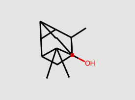 CC1(C)C2CCC3(C)C4C(CCC13O)C24